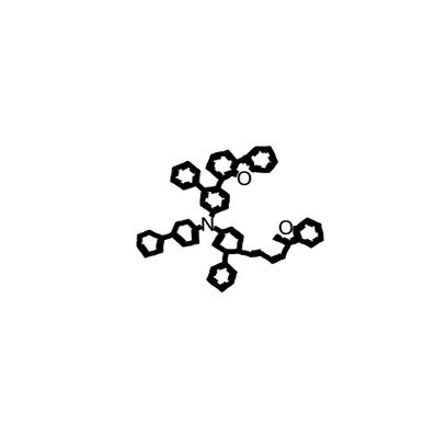 C1=CCCC(C2=CC=C(N(C3=CC(c4ccccc4)C(/C=C/C=C\c4coc5ccccc45)C=C3)c3ccc(-c4cccc5c4oc4ccccc45)c(-c4ccccc4)c3)CC2)=C1